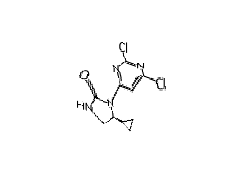 O=C1NC[C@H](C2CC2)N1c1cc(Cl)nc(Cl)n1